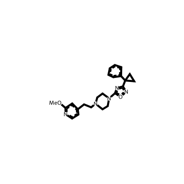 COc1cc(CCN2CCN(c3nc(C4(c5ccccc5)CC4)no3)CC2)ccn1